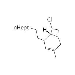 CCCCCCCCCC1C=C(C)CC2=CC(Cl)[C@H]21